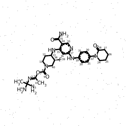 C/C(=N\C(C)(N)N)OC(=O)N1CCC(Nc2cc(Nc3ccc(N4CCCCC4=O)cc3)ncc2C(N)=O)[C@@H](F)C1